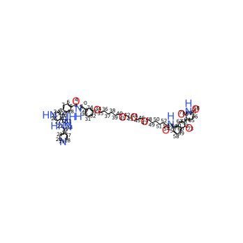 C[C@@H](NC(=O)c1cccc(NC2(c3nnc(-c4ccncc4)[nH]3)CCNCC2)c1)c1cccc(OCCCCCCOCCOCCOCCCCCC(=O)Nc2cccc3c2CC(C2CCC(=O)NC2=O)C3=O)c1